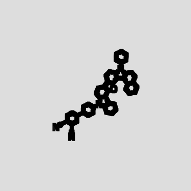 N#Cc1ccc(-c2ccc(-n3c4ccccc4c4c5oc6c(ccc7c6c6c8ccccc8ccc6n7-c6ccccc6)c5ccc43)cc2)cc1C#N